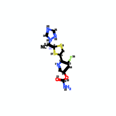 N#C/C(=C1/SCC(c2ncc(OC(N)=O)cc2F)S1)n1cncn1